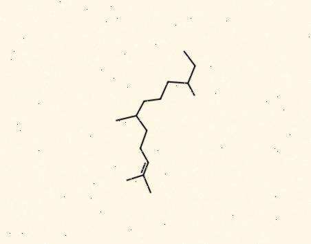 CCC(C)CCCC(C)CCC=C(C)C